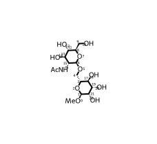 CO[C@H]1O[C@H](CO[C@@H]2O[C@H](CO)[C@@H](O)[C@H](O)[C@H]2NC(C)=O)[C@@H](O)[C@H](O)[C@@H]1O